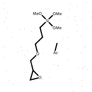 CC(C)=O.CO[Si](CCCOCC1CO1)(OC)OC